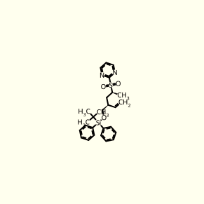 C=C[C@@H](CO[Si](c1ccccc1)(c1ccccc1)C(C)(C)C)C[C@H](C)S(=O)(=O)c1ncccn1